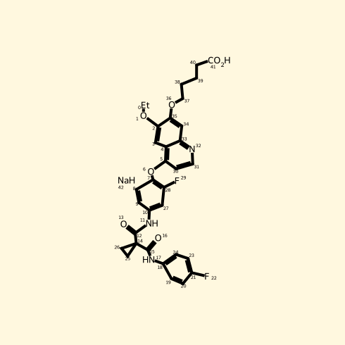 CCOc1cc2c(Oc3ccc(NC(=O)C4(C(=O)Nc5ccc(F)cc5)CC4)cc3F)ccnc2cc1OCCCCC(=O)O.[NaH]